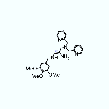 COc1cc(CN/C=C(\N)CN(Cc2ccccn2)Cc2ccccn2)cc(OC)c1OC